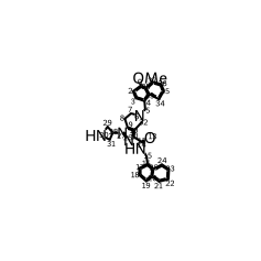 COc1ccc(CN2CCc3c(c(C(=O)NCc4cccc5ccccc45)nn3C3CNC3)C2)c2ccccc12